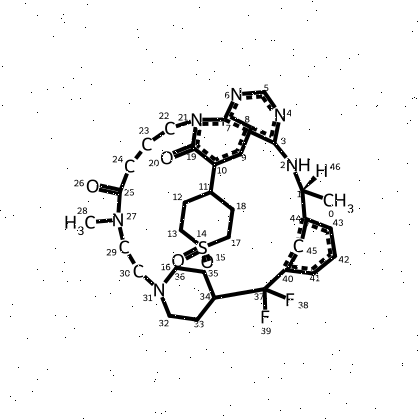 C[C@H]1Nc2ncnc3c2cc(C2CCS(=O)(=O)CC2)c(=O)n3CCCC(=O)N(C)CCN2CCC(CC2)C(F)(F)c2cccc1c2